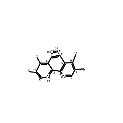 Cc1cnc2c(ccc3c(C)c(C)cnc32)c1C.[O]=[V]